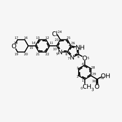 Cc1ccc(Oc2nc3nc(-c4ccc(C5CCOCC5)cc4)c(Cl)cc3[nH]2)cc1C(=O)O